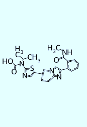 CNC(=O)c1ccccc1-c1cn2cc(-c3cnc(N(C(=O)O)C(C)C)s3)ccc2n1